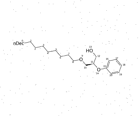 CCCCCCCCCCCCCCCCCCOC[C@@H](CO)Oc1ccccc1